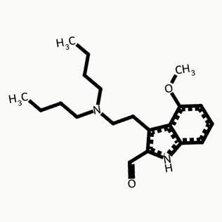 CCCCN(CCCC)CCc1c(C=O)[nH]c2cccc(OC)c12